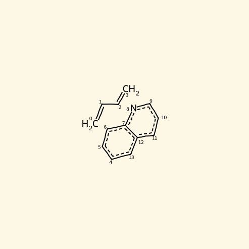 C=CC=C.c1ccc2ncccc2c1